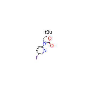 CC(C)(C)[C@H]1CN(c2ccc(I)cn2)C(=O)O1